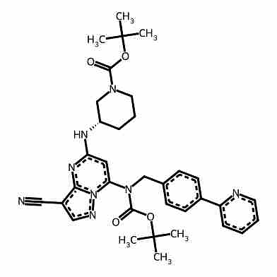 CC(C)(C)OC(=O)N1CCC[C@H](Nc2cc(N(Cc3ccc(-c4ccccn4)cc3)C(=O)OC(C)(C)C)n3ncc(C#N)c3n2)C1